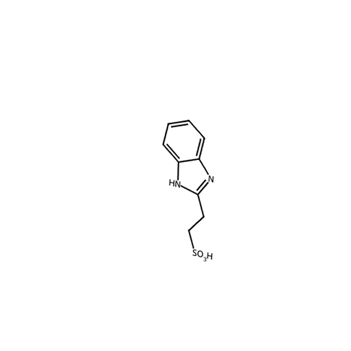 O=S(=O)(O)CCc1nc2ccccc2[nH]1